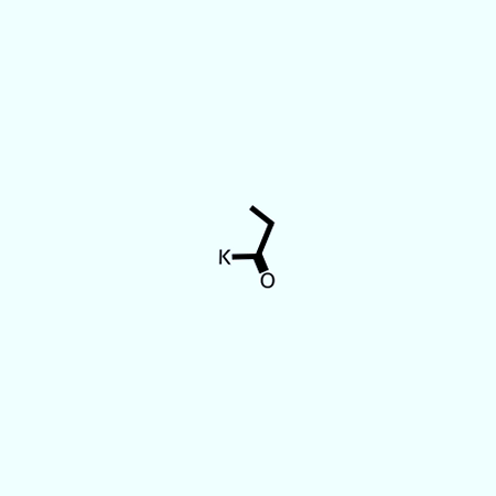 CC[C](=O)[K]